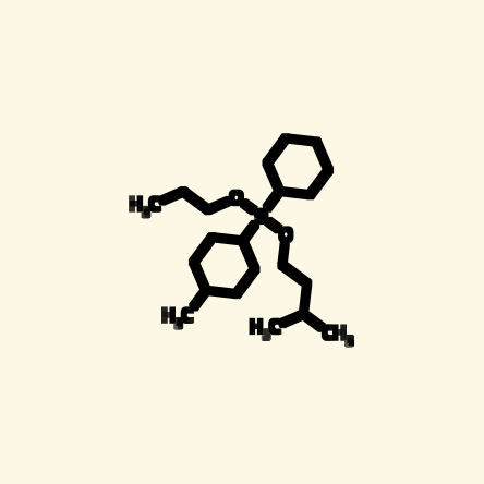 CCCO[Si](OCCC(C)C)(C1CCCCC1)C1CCC(C)CC1